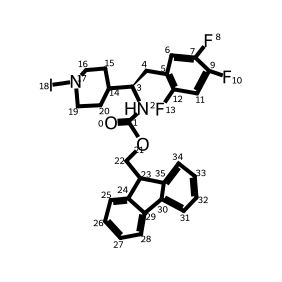 O=C(N[C@H](Cc1cc(F)c(F)cc1F)C1CCN(I)CC1)OCC1c2ccccc2-c2ccccc21